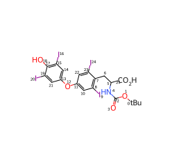 CC(C)(C)OC(=O)NC(Cc1c(I)cc(Oc2cc(I)c(O)c(I)c2)cc1I)C(=O)O